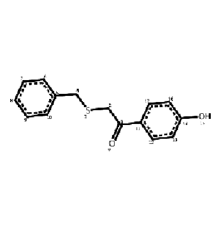 O=C(CSCc1ccccc1)c1ccc(O)cc1